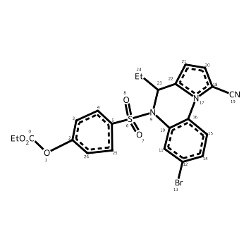 CCOC(=O)Oc1ccc(S(=O)(=O)N2c3cc(Br)ccc3-n3c(C#N)ccc3C2CC)cc1